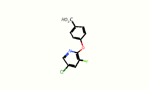 O=C(O)c1ccc(Oc2ncc(Cl)cc2F)cc1